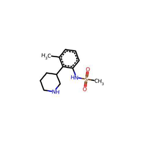 Cc1cccc(NS(C)(=O)=O)c1C1CCCNC1